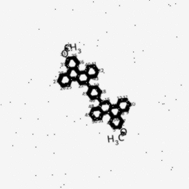 COc1ccc2c(c1)c1ccccc1c1cc(-c3ccc(-c4cc5c6ccccc6c6cc(OC)ccc6c5c5ccccc45)cc3)c3ccccc3c21